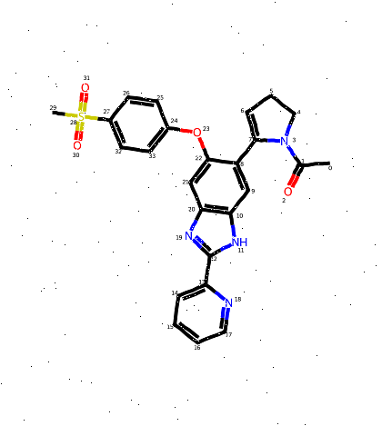 CC(=O)N1CCC=C1c1cc2[nH]c(-c3ccccn3)nc2cc1Oc1ccc(S(C)(=O)=O)cc1